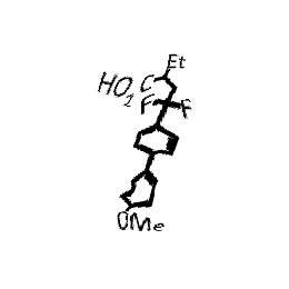 CCC(CC(F)(F)c1ccc(-c2ccc(OC)cc2)cc1)C(=O)O